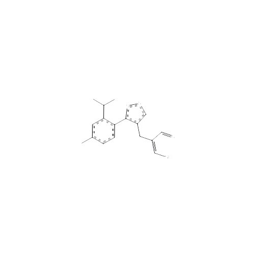 Cc1ccc(-c2n[nH]cc2C/C(C=N)=C/N)c(C(C)C)c1